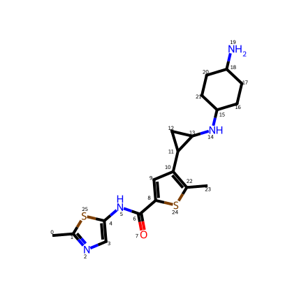 Cc1ncc(NC(=O)c2cc(C3CC3NC3CCC(N)CC3)c(C)s2)s1